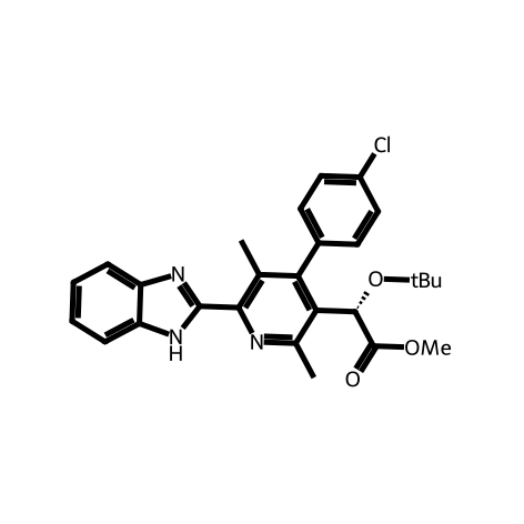 COC(=O)[C@@H](OC(C)(C)C)c1c(C)nc(-c2nc3ccccc3[nH]2)c(C)c1-c1ccc(Cl)cc1